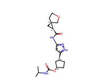 CC(C)NC(=O)O[C@@H]1CC[C@H](c2cc(NC(=O)[C@H]3C[C@]34CCOC4)n[nH]2)C1